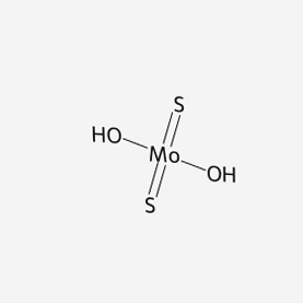 [OH][Mo]([OH])(=[S])=[S]